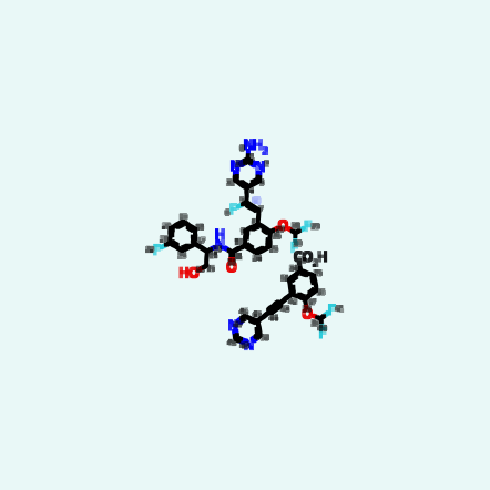 Nc1ncc(/C(F)=C/c2cc(C(=O)NC(CO)c3cccc(F)c3)ccc2OC(F)F)cn1.O=C(O)c1ccc(OC(F)F)c(C#Cc2cncnc2)c1